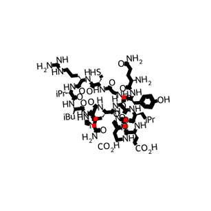 CC[C@H](C)[C@H](NC(=O)[C@@H](NC(=O)[C@H](CCCNC(=N)N)NC(=O)[C@H](CS)NC(=O)CNC(=O)[C@H](Cc1ccc(O)cc1)NC(=O)[C@@H](N)CCC(N)=O)C(C)C)C(=O)N[C@@H](CCC(N)=O)C(=O)N[C@@H](Cc1c[nH]cn1)C(=O)N[C@H](C(=O)N[C@@H](CC(C)C)C(=O)N[C@@H](CCC(=O)O)C(=O)N[C@@H](Cc1c[nH]cn1)C(=O)O)C(C)C